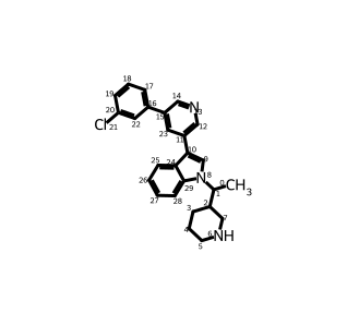 CC(C1CCCNC1)n1cc(-c2cncc(-c3cccc(Cl)c3)c2)c2ccccc21